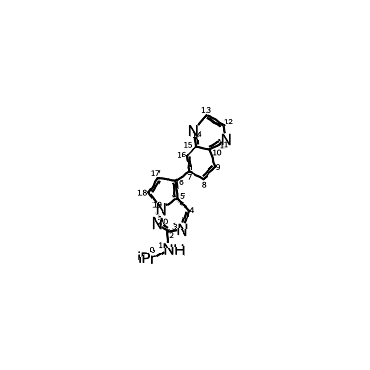 CC(C)Nc1ncc2c(-c3ccc4nccnc4c3)ccn2n1